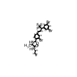 CC(NC(=O)c1ccc(/C=C/C(c2cc(Br)cc(Br)c2)C(F)(F)F)cc1Br)C(=O)NCCF